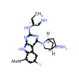 C/C=C(\C=N)Nc1nc(N2C[C@H]3C[C@@H]2C[C@H]3N)c2c(n1)[nH]c1c(NC)cc(F)cc12